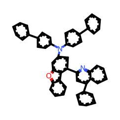 c1ccc(-c2ccc(N(c3ccc(-c4ccccc4)cc3)c3cc(-c4cc(-c5ccccc5)c5ccccc5n4)c4c(c3)oc3ccccc34)cc2)cc1